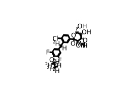 [2H]C([2H])(c1cc(F)c(OC([2H])([2H])C([2H])([2H])[2H])c(F)c1)c1cc(C2(OC)O[C@H](CO)[C@@H](O)[C@H](O)[C@H]2O)ccc1Cl